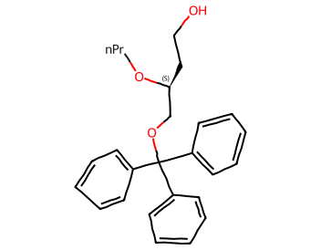 CCCO[C@@H](CCO)COC(c1ccccc1)(c1ccccc1)c1ccccc1